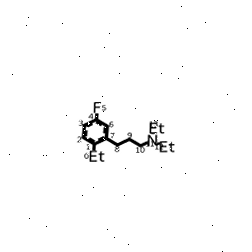 CCc1ccc(F)cc1CCCN(CC)CC